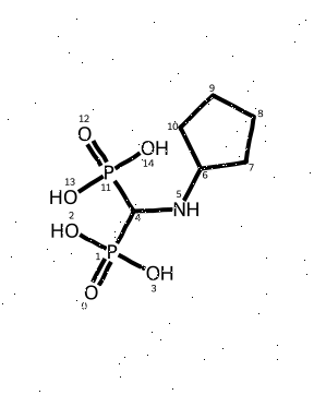 O=P(O)(O)C(NC1CCCC1)P(=O)(O)O